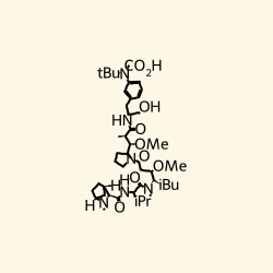 CC[C@H](C)[C@@H]([C@@H](CC(=O)N1CCCC1[C@H](OC)[C@@H](C)C(=O)NC(CO)Cc1cccc(N(C(=O)O)C(C)(C)C)c1)OC)N(C)C(=O)C(NC(=O)[C@@H]1[C@H]2CC[C@H](C2)N1C)C(C)C